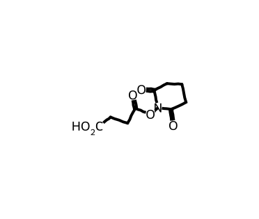 O=C(O)CCC(=O)ON1C(=O)CCCC1=O